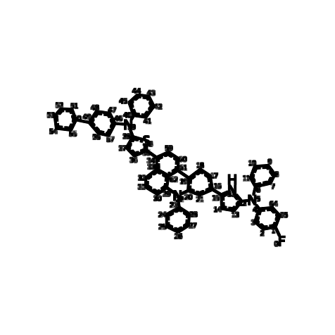 Fc1ccc(N(c2ccccc2)c2ccc(-c3ccc4c(c3)N(c3ccccc3)c3cccc5c(-c6ccc(N(c7ccccc7)c7ccc(-c8ccccc8)cc7)s6)ccc-4c35)[nH]2)cc1